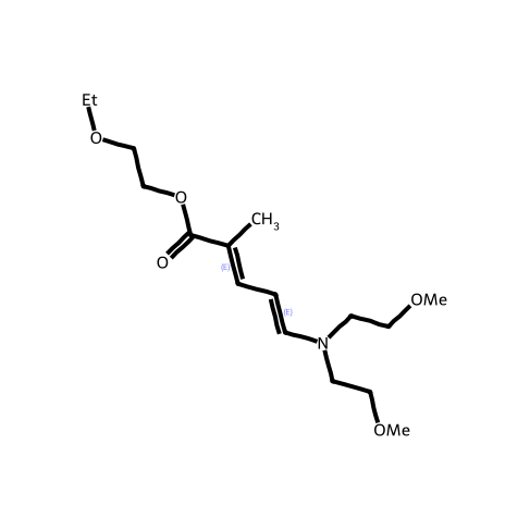 CCOCCOC(=O)/C(C)=C/C=C/N(CCOC)CCOC